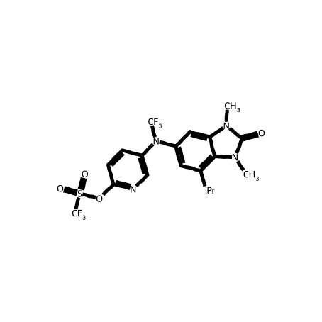 CC(C)c1cc(N(c2ccc(OS(=O)(=O)C(F)(F)F)nc2)C(F)(F)F)cc2c1n(C)c(=O)n2C